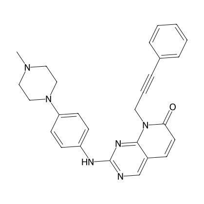 CN1CCN(c2ccc(Nc3ncc4ccc(=O)n(CC#Cc5ccccc5)c4n3)cc2)CC1